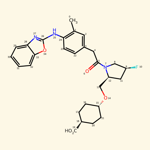 Cc1cc(CC(=O)N2C[C@@H](F)C[C@H]2CO[C@H]2CC[C@H](C(=O)O)CC2)ccc1Nc1nc2ccccc2o1